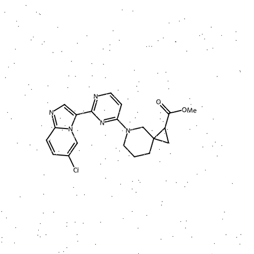 COC(=O)C1CC12CCCN(c1ccnc(-c3cnc4ccc(Cl)cn34)n1)C2